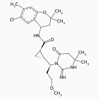 COCC[C@@H]([C@@H]1C[C@H]1C(=O)NC1CC(C)(C)Oc2cc(C)c(Cl)cc21)N1C(=N)NC(C)(C)CC1=O